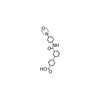 O=C(O)c1ccc(-c2cccc(C(=O)Nc3ccc(N4CCOCC4)cc3)c2)cc1